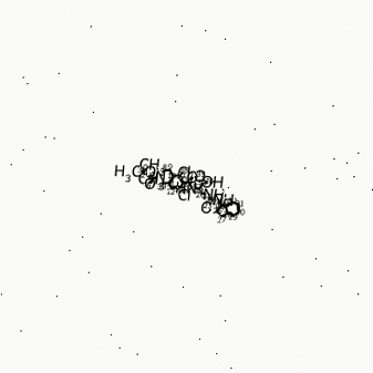 CC(C)(C)OC(=O)N1CCc2c(cc(Cl)c(C(=O)N[C@@H](CNC(=O)N[C@@H]3CCc4ccccc43)C(=O)O)c2Cl)C1